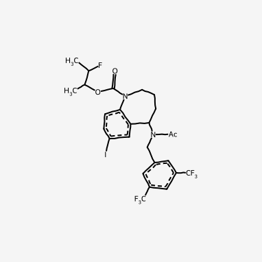 CC(=O)N(Cc1cc(C(F)(F)F)cc(C(F)(F)F)c1)C1CCCN(C(=O)OC(C)C(C)F)c2ccc(I)cc21